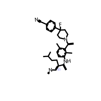 C=N/C=C(\CCC(C)C)C(=C)Nc1ccc(C)c(C(=C)N2CCC(F)(c3ccc(C#N)cc3)CC2)c1C